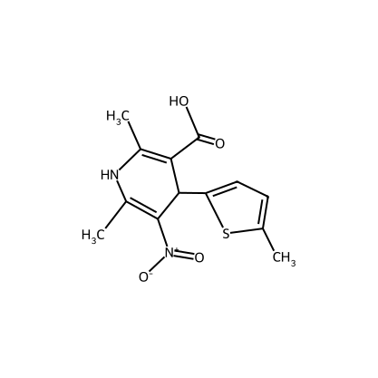 CC1=C(C(=O)O)C(c2ccc(C)s2)C([N+](=O)[O-])=C(C)N1